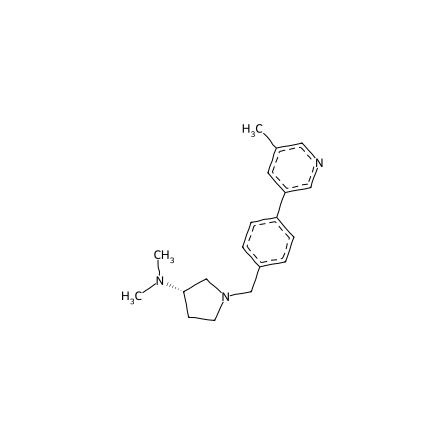 Cc1cncc(-c2ccc(CN3CC[C@H](N(C)C)C3)cc2)c1